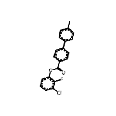 Cc1ccc(-c2ccc(C(=O)Oc3cccc(Cl)c3F)cc2)cc1